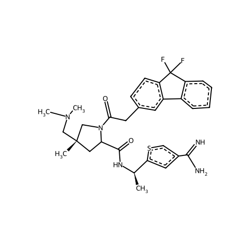 C[C@@H](NC(=O)C1C[C@](C)(CN(C)C)CN1C(=O)Cc1ccc2c(c1)-c1ccccc1C2(F)F)c1cc(C(=N)N)cs1